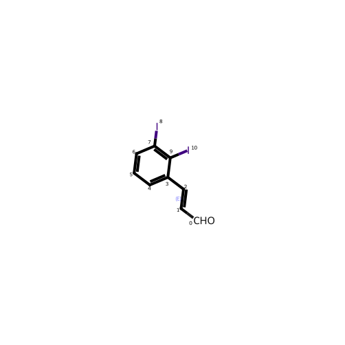 O=C/C=C/c1cccc(I)c1I